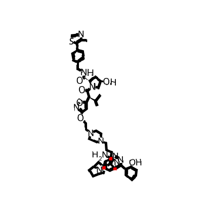 Cc1ncsc1-c1ccc(CNC(=O)[C@@H]2C[C@@H](O)CN2C(=O)[C@H](c2cc(OCCN3CCN(CCCc4cc(N5C6CCC5CN(c5cc(-c7ccccc7O)nnc5N)C6)ccn4)CC3)no2)C(C)C)cc1